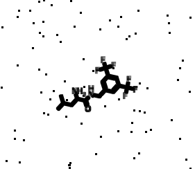 CC(C)CC(N)C(=O)NCc1cc(C(F)(F)F)cc(C(F)(F)F)c1